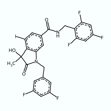 CC1(O)C(=O)N(Cc2cc(F)cc(F)c2)c2cc(C(=O)NCc3c(F)cc(F)cc3F)cc(I)c21